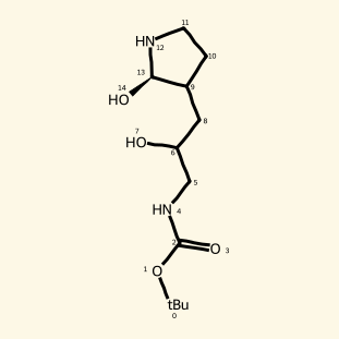 CC(C)(C)OC(=O)NCC(O)CC1CCN[C@@H]1O